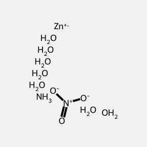 N.O.O.O.O.O.O.O.O=[N+]([O-])[O-].[Zn+]